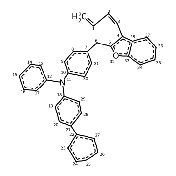 C=C/C=C\c1c(Cc2ccc(N(c3ccccc3)c3ccc(-c4ccccc4)cc3)cc2)oc2ccccc12